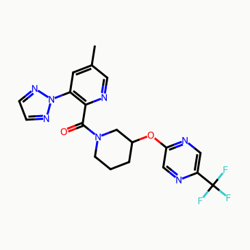 Cc1cnc(C(=O)N2CCCC(Oc3cnc(C(F)(F)F)cn3)C2)c(-n2nccn2)c1